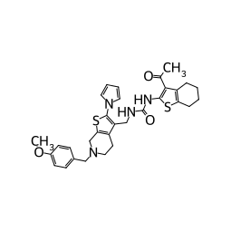 COc1ccc(CN2CCc3c(sc(-n4cccc4)c3CNC(=O)Nc3sc4c(c3C(C)=O)CCCC4)C2)cc1